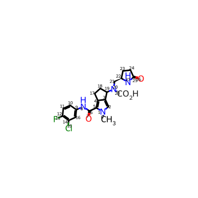 Cn1cc2c(c1C(=O)Nc1ccc(F)c(Cl)c1)CCC2N(C[C@H]1CCC(=O)N1)C(=O)O